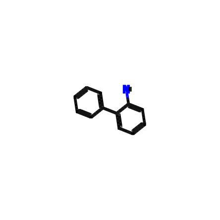 [N]c1ccccc1-c1ccccc1